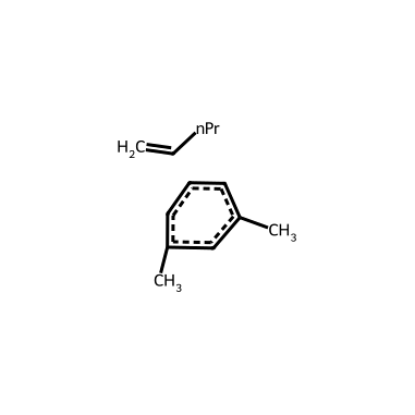 C=CCCC.Cc1cccc(C)c1